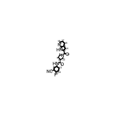 N#Cc1cc(NC(=O)[C@H]2CCN(C(=O)c3cc4cccnc4[nH]3)C2)ccc1F